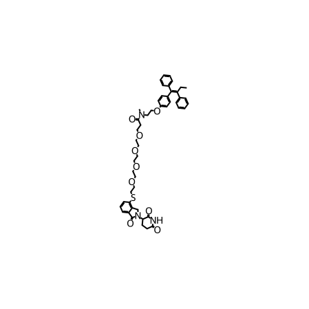 CC/C(=C(\c1ccccc1)c1ccc(OCCN(C)C(=O)CCOCCOCCOCCOCCSc2cccc3c2CN(C2CCC(=O)NC2=O)C3=O)cc1)c1ccccc1